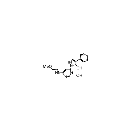 COCCNc1cc(N2NC=C(c3cccnc3)C2O)ncn1.Cl